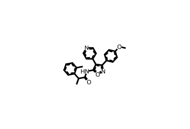 COc1ccc(-c2noc(NC(=O)C(C)c3ccccc3C)c2-c2ccncc2)cc1